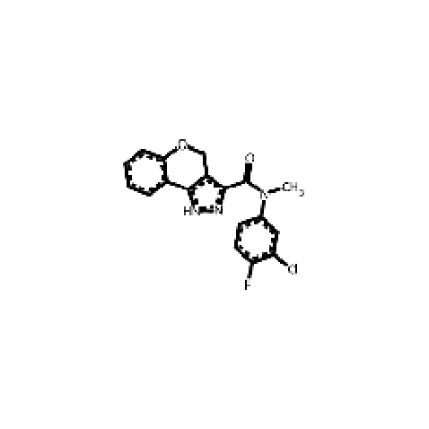 CN(C(=O)c1n[nH]c2c1COc1ccccc1-2)c1ccc(F)c(Cl)c1